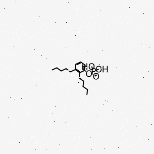 CCCCCc1cccc(OP(=O)(O)O)c1CCCCC